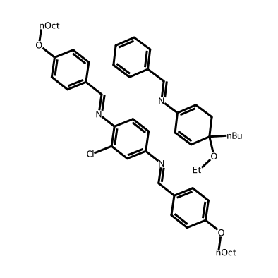 CCCCC1(OCC)C=CC(N=Cc2ccccc2)=CC1.CCCCCCCCOc1ccc(C=Nc2ccc(N=Cc3ccc(OCCCCCCCC)cc3)c(Cl)c2)cc1